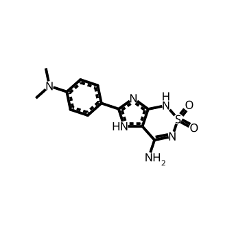 CN(C)c1ccc(-c2nc3c([nH]2)C(N)=NS(=O)(=O)N3)cc1